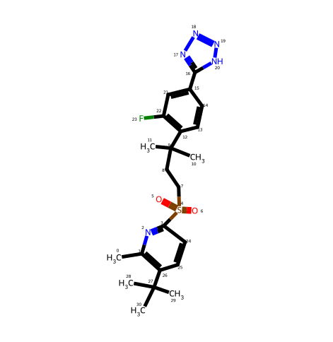 Cc1nc(S(=O)(=O)CCC(C)(C)c2ccc(-c3nnn[nH]3)cc2F)ccc1C(C)(C)C